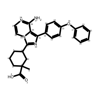 CC1(C(=O)O)CCCC(c2nc(-c3ccc(Oc4ccccc4)cc3)c3c(N)nccn23)C1